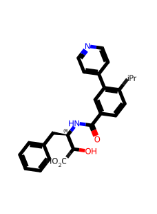 CC(C)c1ccc(C(=O)N[C@H](Cc2ccccc2)C(O)C(=O)O)cc1-c1ccncc1